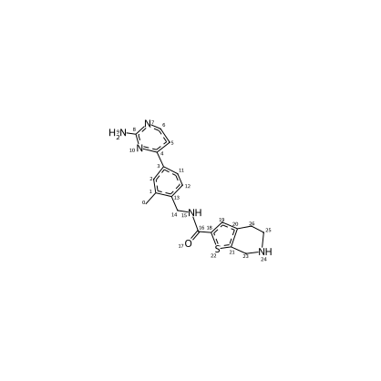 Cc1cc(-c2ccnc(N)n2)ccc1CNC(=O)c1cc2c(s1)CNCC2